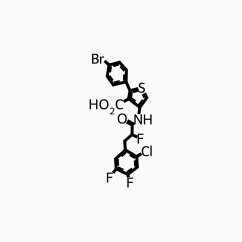 O=C(O)c1c(NC(=O)C(F)Cc2cc(F)c(F)cc2Cl)csc1-c1ccc(Br)cc1